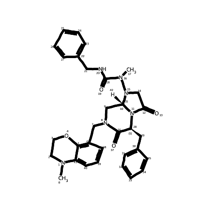 CN1CCOc2c(CN3C[C@H]4N(C(=O)CN4N(C)C(=O)NCc4ccccc4)[C@@H](Cc4ccccc4)C3=O)cccc21